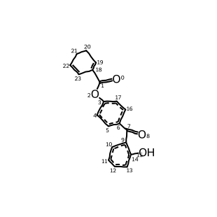 O=C(Oc1ccc(C(=O)c2ccccc2O)cc1)C1=CCCC=C1